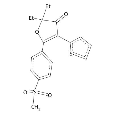 CCC1(CC)OC(c2ccc(S(C)(=O)=O)cc2)=C(c2cccs2)C1=O